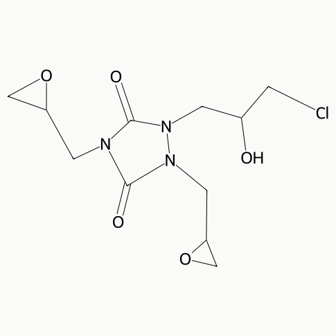 O=c1n(CC2CO2)c(=O)n(CC2CO2)n1CC(O)CCl